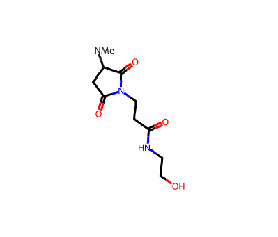 CNC1CC(=O)N(CCC(=O)NCCO)C1=O